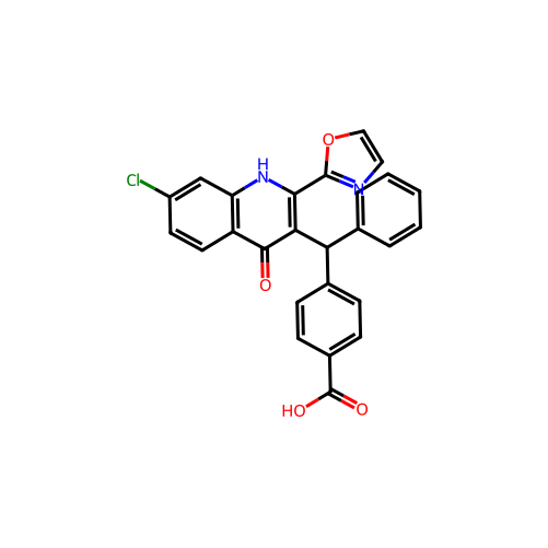 O=C(O)c1ccc(C(c2ccccc2)c2c(-c3ncco3)[nH]c3cc(Cl)ccc3c2=O)cc1